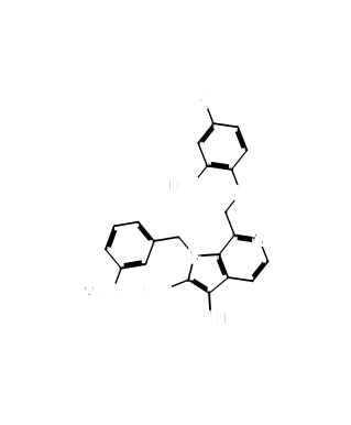 COc1cccc(Cn2c(C)c(C)c3ccnc(COc4ccc(C)cc4C)c32)c1